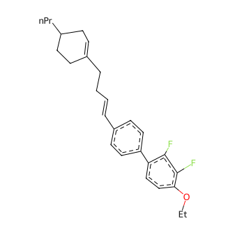 CCCC1CC=C(CC/C=C/c2ccc(-c3ccc(OCC)c(F)c3F)cc2)CC1